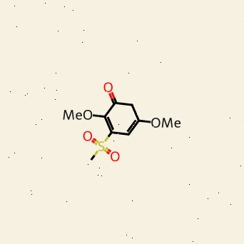 COC1=CC(S(C)(=O)=O)=C(OC)C(=O)C1